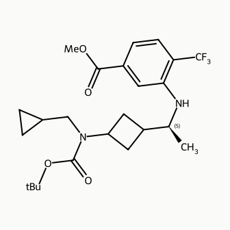 COC(=O)c1ccc(C(F)(F)F)c(N[C@@H](C)C2CC(N(CC3CC3)C(=O)OC(C)(C)C)C2)c1